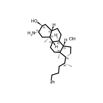 CC(C)CCC[C@@H](C)[C@H]1CC[C@H]2[C@@H]3CC[C@H]4C[C@H](O)[C@@H](N)C[C@]4(C)[C@H]3CC[C@]12C.Cl